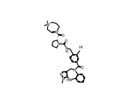 Cc1cc(C(=O)N2Cc3cnn(C)c3Nc3ccccc32)ccc1CNC(=O)N1CCC[C@@H]1C(=O)[N+]1=CC[N+](C)(C)CCC1.I